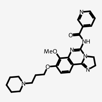 COc1c(OCCCN2CCCCC2)ccc2c1N=C(NC(=O)c1cccnc1)N1CCN=C21